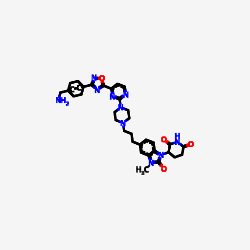 Cn1c(=O)n(C2CCC(=O)NC2=O)c2ccc(CCCN3CCN(c4nccc(-c5nc(C67CCC(CN)(CC6)CC7)no5)n4)CC3)cc21